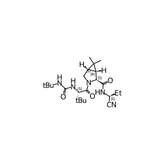 CC[C@@H](C#N)NC(=O)[C@@H]1[C@@H]2[C@H](CN1C(=O)[C@@H](NC(=O)NC(C)(C)C)C(C)(C)C)C2(C)C